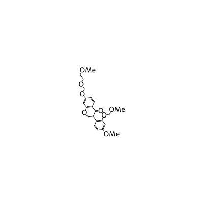 COCCOCOc1ccc2c(c1)OCC(c1ccc(OC)cc1OCOC)C2=O